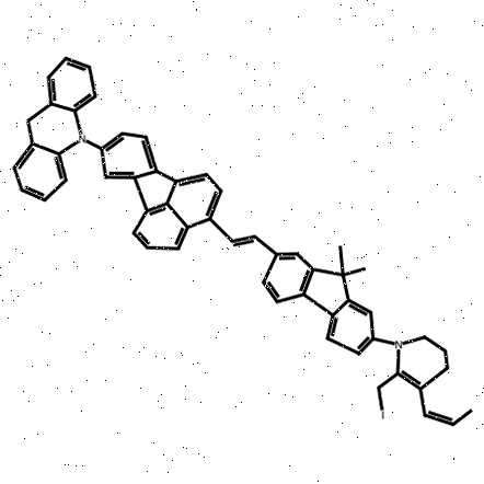 C/C=C\C1=C(CI)N(c2ccc3c(c2)C(C)(C)c2cc(/C=C/c4ccc5c6c(cccc46)-c4cc(N6c7ccccc7Cc7ccccc76)ccc4-5)ccc2-3)CCC1